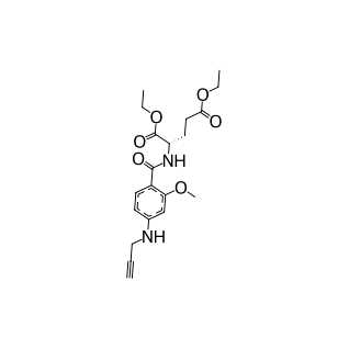 C#CCNc1ccc(C(=O)N[C@@H](CCC(=O)OCC)C(=O)OCC)c(OC)c1